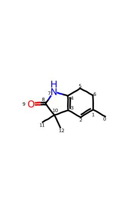 CC1=CC2=C(CC1)NC(=O)C2(C)C